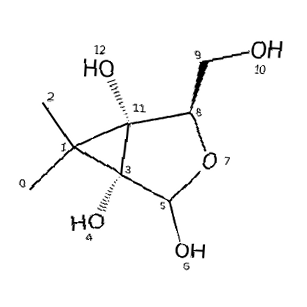 CC1(C)[C@]2(O)C(O)O[C@H](CO)[C@]12O